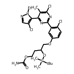 CCn1ncc(Cl)c1-c1nc(-c2cc(OCC(CCOC(N)=O)O[Si](C)(C)C(C)(C)C)ccc2Cl)nc(Cl)c1C